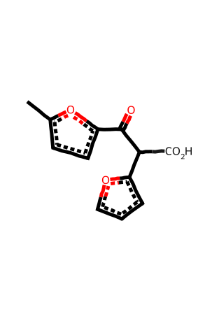 Cc1ccc(C(=O)C(C(=O)O)c2ccco2)o1